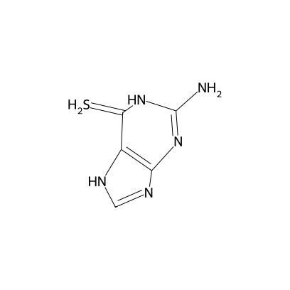 Nc1nc2nc[nH]c2c(=[SH2])[nH]1